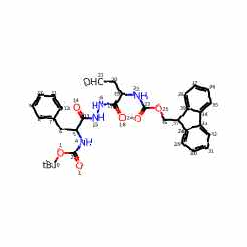 CC(C)(C)OC(=O)NC(Cc1ccccc1)C(=O)NNC(=O)C(CC=O)NC(=O)OCC1c2ccccc2-c2ccccc21